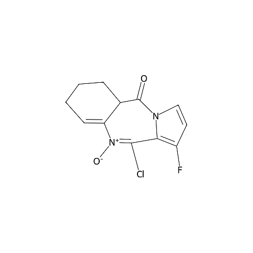 O=C1C2CCCC=C2[N+]([O-])=C(Cl)c2c(F)ccn21